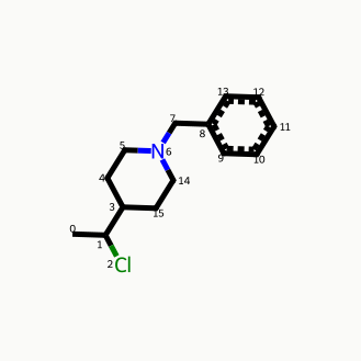 CC(Cl)C1CCN(Cc2ccccc2)CC1